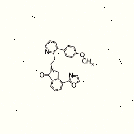 COc1ccc(-c2cccnc2CCN2Cc3c(cccc3-c3ncco3)C2=O)cc1